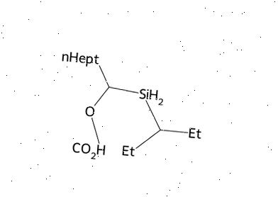 CCCCCCCC(OC(=O)O)[SiH2]C(CC)CC